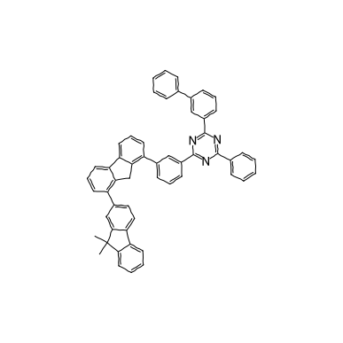 CC1(C)c2ccccc2-c2ccc(-c3cccc4c3Cc3c(-c5cccc(-c6nc(-c7ccccc7)nc(-c7cccc(-c8ccccc8)c7)n6)c5)cccc3-4)cc21